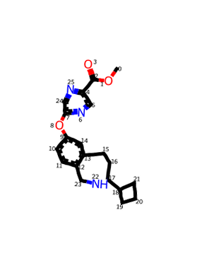 COC(=O)c1cnc(Oc2ccc3c(c2)CCC(C2CCC2)NC3)cn1